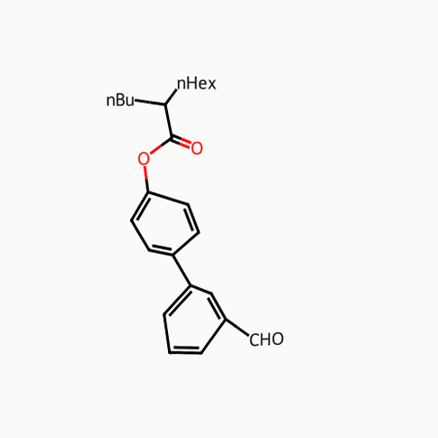 CCCCCCC(CCCC)C(=O)Oc1ccc(-c2cccc(C=O)c2)cc1